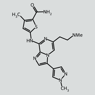 CNCCc1cn2c(-c3cnn(C)c3)cnc2c(Nc2cc(C)c(C(N)=O)s2)n1